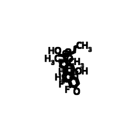 CCCC(=O)O[C@]1(C(=O)CO)[C@@H](C)C[C@H]2[C@@H]3C[C@H](F)C4=C(F)C(=O)C=C[C@]4(C)[C@H]3[C@@H](O)C[C@@]21C